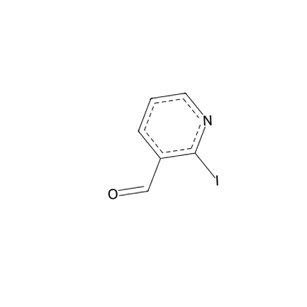 O=Cc1cccnc1I